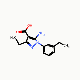 CCc1cccc(-n2nc(CC)c(C(=O)O)c2N)c1